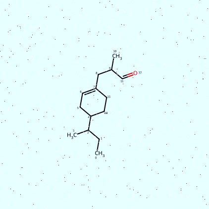 CCC(C)C1CC=C(CC(C)C=O)CC1